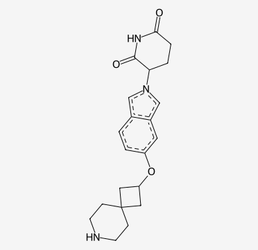 O=C1CCC(n2cc3ccc(OC4CC5(CCNCC5)C4)cc3c2)C(=O)N1